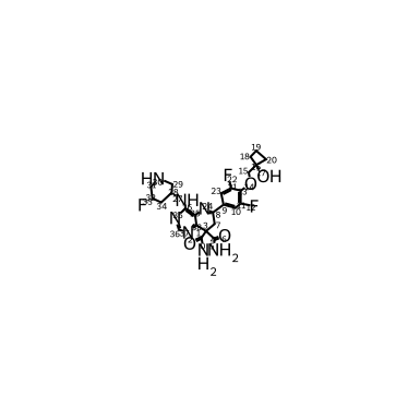 NC(=O)C1(C(N)=O)CC(c2cc(F)c(OCC3(O)CCC3)c(F)c2)=Nc2c(N[C@@H]3CNC[C@@H](F)C3)ncnc21